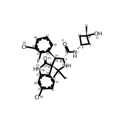 CC1(C)N[C@@H](C(=O)N[C@H]2C[C@@](C)(O)C2)[C@H](c2cccc(Cl)c2F)[C@]12C(=O)Nc1cc(Cl)ccc12